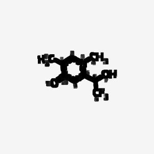 Cc1cn(C)c(C(O)C(F)(F)F)cc1=O